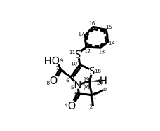 CC1(C)C(=O)N2C(C(=O)O)=C(Sc3ccccc3)S[C@@H]21